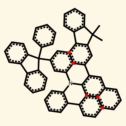 CC1(C)c2ccccc2-c2ccc(-c3cc4ccccc4cc3N(c3cccc(C4(c5ccccc5)c5ccccc5-c5ccccc54)c3)c3ccccc3-c3ccccc3)cc21